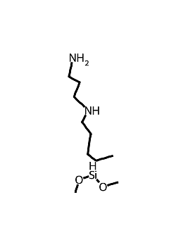 CO[SiH](OC)C(C)CCCNCCCN